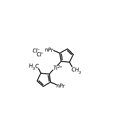 CCCC1=[C]([Ti+2][C]2=C(CCC)C=CC2C)C(C)C=C1.[Cl-].[Cl-]